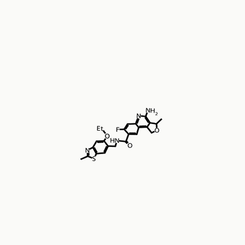 CCOc1cc2nc(C)sc2cc1CNC(=O)c1cc2c3c(c(N)nc2cc1F)C(C)OC3